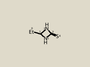 CCC1NC(=S)N1